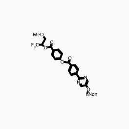 CCCCCCCCCOc1cnc(-c2ccc(C(=O)Oc3ccc(C(=O)OC(COC)C(F)(F)F)cc3)cc2)nc1